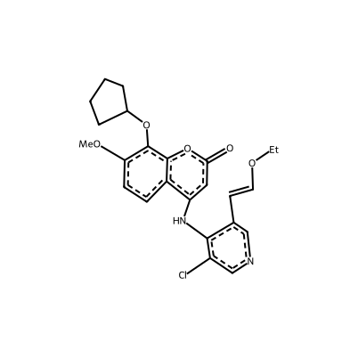 CCOC=Cc1cncc(Cl)c1Nc1cc(=O)oc2c(OC3CCCC3)c(OC)ccc12